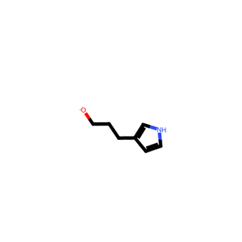 [O]CCCc1cc[nH]c1